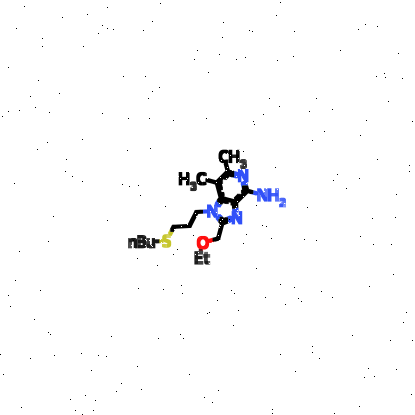 CCCCSCCCn1c(COCC)nc2c(N)nc(C)c(C)c21